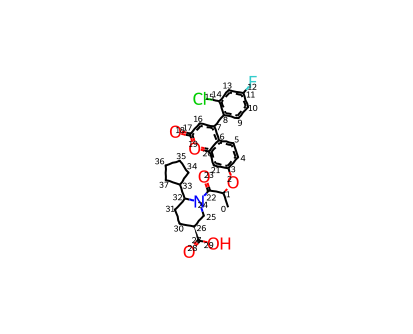 CC(Oc1ccc2c(-c3ccc(F)cc3Cl)cc(=O)oc2c1)C(=O)N1C[C@@H](C(=O)O)CCC1C1CCCC1